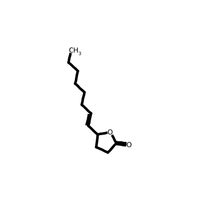 CCCCCCC=CC1CCC(=O)O1